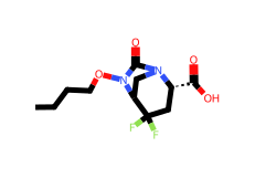 CCCCON1C(=O)N2CC1C(F)(F)C[C@H]2C(=O)O